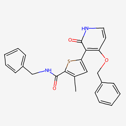 Cc1cc(-c2c(OCc3ccccc3)cc[nH]c2=O)sc1C(=O)NCc1ccccc1